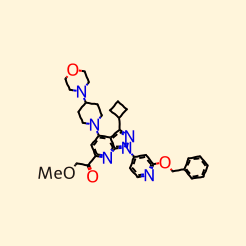 COCC(=O)c1cc(N2CCC(N3CCOCC3)CC2)c2c(C3CCC3)nn(-c3ccnc(OCc4ccccc4)c3)c2n1